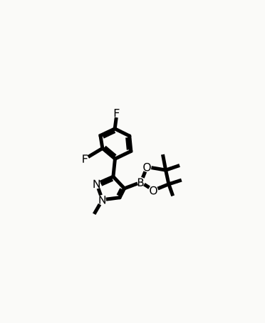 Cn1cc(B2OC(C)(C)C(C)(C)O2)c(-c2ccc(F)cc2F)n1